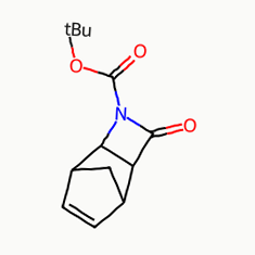 CC(C)(C)OC(=O)N1C(=O)C2C3C=CC(C3)C21